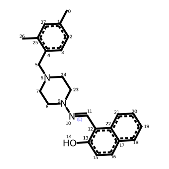 Cc1ccc(CN2CCN(/N=C/c3c(O)ccc4ccccc34)CC2)c(C)c1